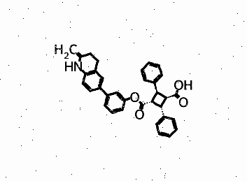 C=C1CCc2cc(-c3cccc(OC(=O)[C@H]4[C@@H](c5ccccc5)[C@H](C(=O)O)[C@@H]4c4ccccc4)c3)ccc2N1